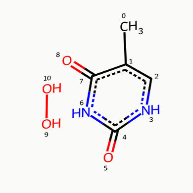 Cc1c[nH]c(=O)[nH]c1=O.OO